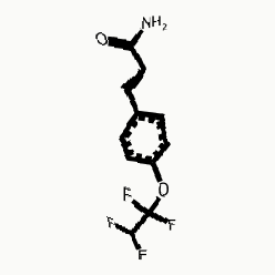 NC(=O)C=Cc1ccc(OC(F)(F)C(F)F)cc1